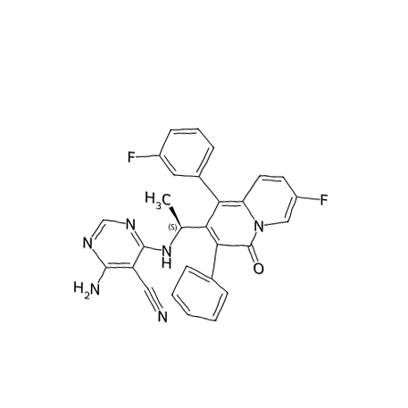 C[C@H](Nc1ncnc(N)c1C#N)c1c(-c2ccccc2)c(=O)n2cc(F)ccc2c1-c1cccc(F)c1